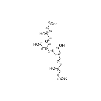 CCCCCCCCCCCCC(O)COCC(CCO)CSCC(CCO)COCC(O)CCCCCCCCCCCC